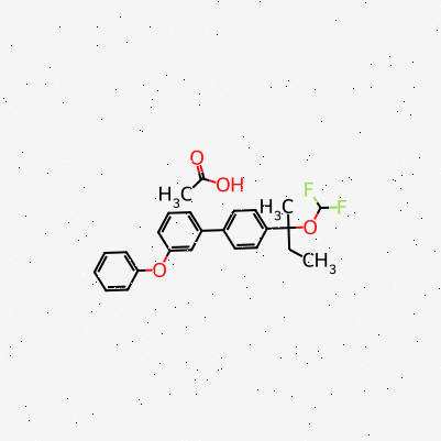 CC(=O)O.CCC(C)(OC(F)F)c1ccc(-c2cccc(Oc3ccccc3)c2)cc1